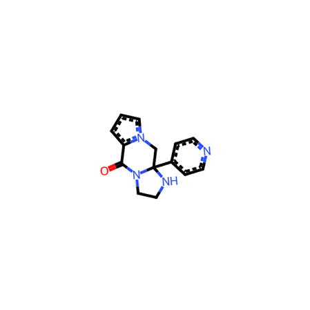 O=C1c2cccn2CC2(c3ccncc3)NCCN12